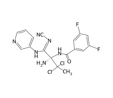 CC(Cl)(Cl)[C@](N)(NC(=O)c1cc(F)cc(F)c1)C(=NC#N)Nc1cccnc1